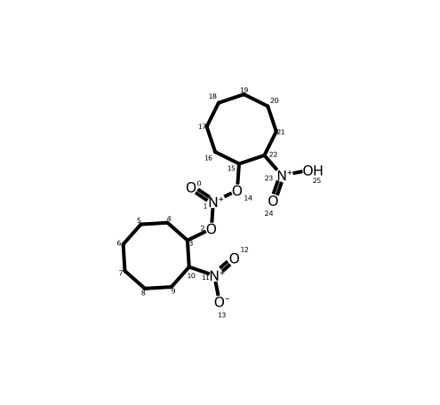 O=[N+](OC1CCCCCCC1[N+](=O)[O-])OC1CCCCCCC1[N+](=O)O